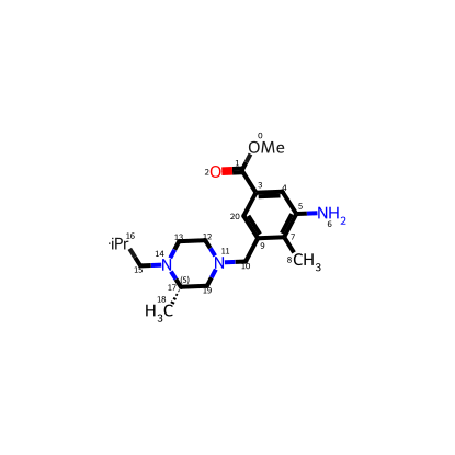 COC(=O)c1cc(N)c(C)c(CN2CCN(C[C](C)C)[C@@H](C)C2)c1